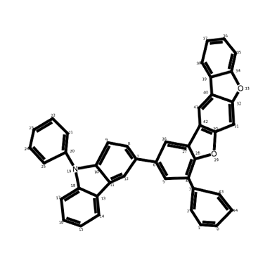 c1ccc(-c2cc(-c3ccc4c(c3)c3ccccc3n4-c3ccccc3)cc3c2oc2cc4oc5ccccc5c4cc23)cc1